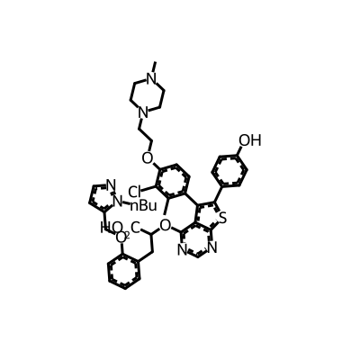 CCCCn1nccc1COc1ccccc1CC(Oc1ncnc2sc(-c3ccc(O)cc3)c(-c3ccc(OCCN4CCN(C)CC4)c(Cl)c3C)c12)C(=O)O